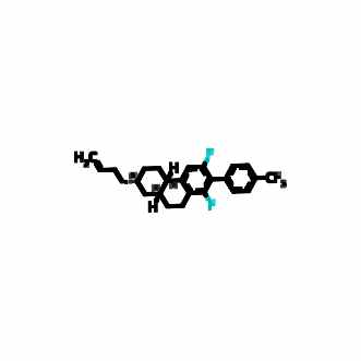 C=CCC[C@@H]1CC[C@@H]2c3cc(F)c(-c4ccc(C(F)(F)F)cc4)c(F)c3CC[C@@H]2C1